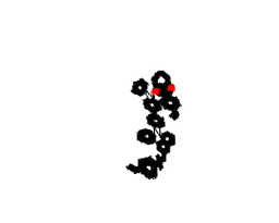 C=Cc1ccc(C(C)(C)Cc2ccc3c(N(c4ccccc4)c4ccc(-c5ccc(N(C6=C7C=CC=CC(=CC=C6)C7C(C)(C)c6ccc(C=C)cc6)c6ccccc6)cc5)cc4)cccc3c2)cc1